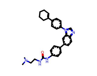 CN(C)CCNC(=O)Nc1ccc(-c2ccc3ncn(-c4ccc(C5=CCCCC5)cc4)c3c2)cc1